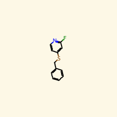 Fc1cc(SCc2ccccc2)ccn1